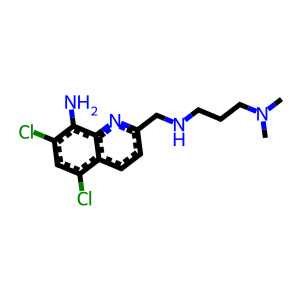 CN(C)CCCNCc1ccc2c(Cl)cc(Cl)c(N)c2n1